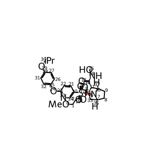 COCCOC(=O)N1[C@@H]2CC[C@H]1[C@H](C(=O)NO)N(S(=O)(=O)c1ccc(Oc3ccc(OC(C)C)cc3)nc1)C2